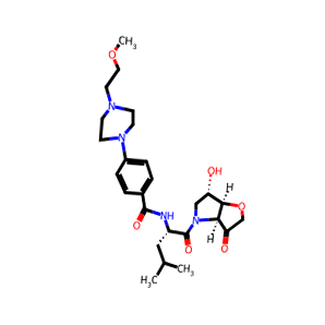 COCCN1CCN(c2ccc(C(=O)N[C@@H](CC(C)C)C(=O)N3C[C@H](O)[C@H]4OCC(=O)[C@H]43)cc2)CC1